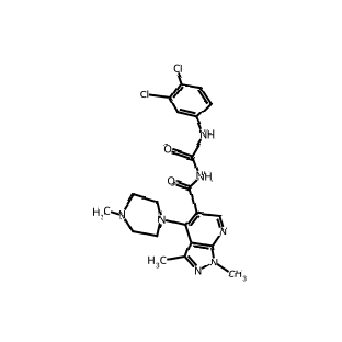 Cc1nn(C)c2ncc(C(=O)NC(=O)Nc3ccc(Cl)c(Cl)c3)c(N3CCN(C)CC3)c12